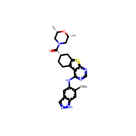 COc1cc2[nH]ncc2cc1Nc1ncnc2sc3c(c12)CC[C@H](C(=O)N1C[C@@H](C)O[C@@H](C)C1)C3